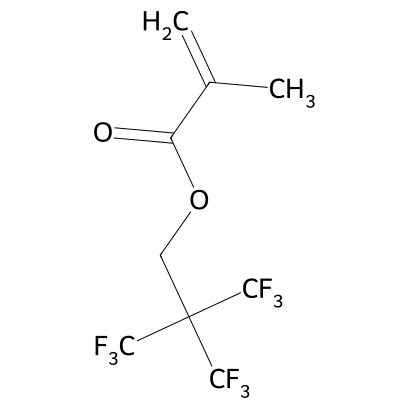 C=C(C)C(=O)OCC(C(F)(F)F)(C(F)(F)F)C(F)(F)F